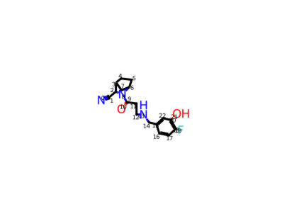 N#CC1C2CCC(C2)N1C(=O)CCNCc1ccc(F)c(O)c1